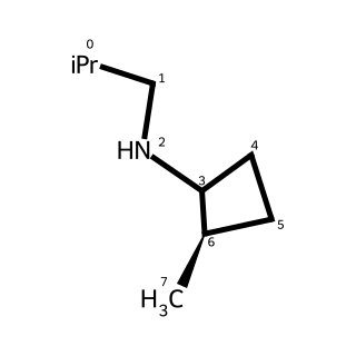 CC(C)CNC1CC[C@H]1C